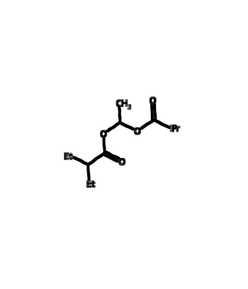 CCC(CC)C(=O)OC(C)OC(=O)C(C)C